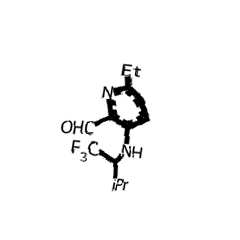 CCc1ccc(NC(C(C)C)C(F)(F)F)c(C=O)n1